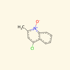 Cc1cc(Cl)c2ccccc2[n+]1[O-]